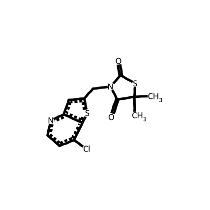 CC1(C)SC(=O)N(Cc2cc3nccc(Cl)c3s2)C1=O